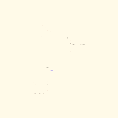 O=c1cc(/C=C/c2ccco2)cc(C(Cl)(Cl)Cl)o1